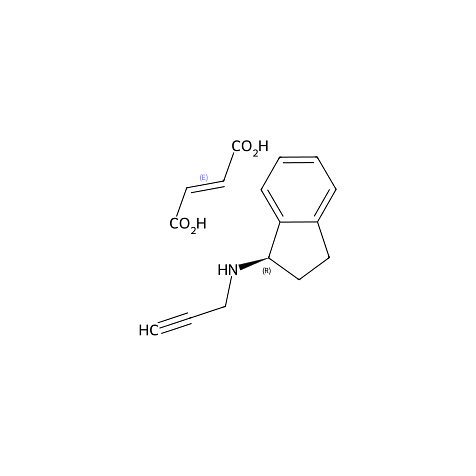 C#CCN[C@@H]1CCc2ccccc21.O=C(O)/C=C/C(=O)O